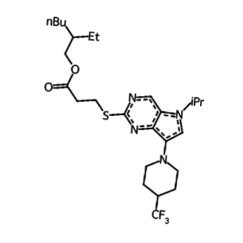 CCCCC(CC)COC(=O)CCSc1ncc2c(n1)c(N1CCC(C(F)(F)F)CC1)cn2C(C)C